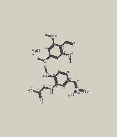 C=Cc1c(OC)cc(OC)cc1OC.COc1ccc(C=S(=O)=O)cc1NCC(=O)O.[NaH]